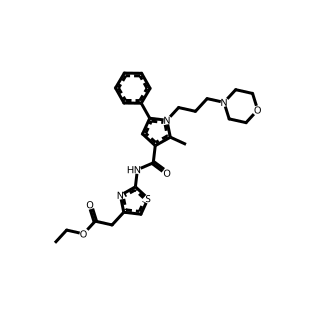 CCOC(=O)Cc1csc(NC(=O)c2cc(-c3ccccc3)n(CCCN3CCOCC3)c2C)n1